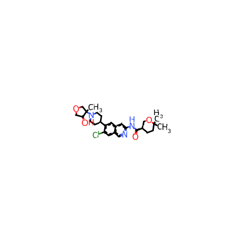 CC1(C)CCC(C(=O)Nc2cc3cc(C4CCN(C5(C)COCC5O)CC4)c(Cl)cc3cn2)CO1